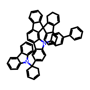 C1=CCC(c2ccc3c(c2)c2ccc4c(c2n3-c2ccc(-c3ccccc3)cc2)C2(C3=C(C=CCC3)c3ccccc32)c2ccccc2-4)(n2c3ccccc3c3ccccc32)C=C1